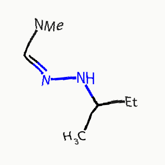 CCC(C)N/N=C\NC